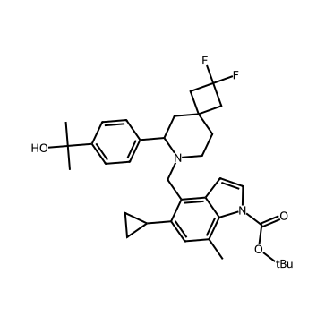 Cc1cc(C2CC2)c(CN2CCC3(CC2c2ccc(C(C)(C)O)cc2)CC(F)(F)C3)c2ccn(C(=O)OC(C)(C)C)c12